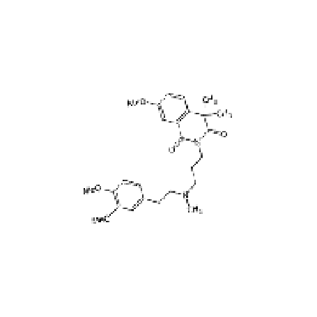 COc1ccc2c(c1)C(=O)N(CCCN(C)CCc1ccc(OC)c(OC)c1)C(=O)C2(C)C